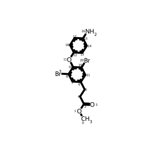 COC(=O)CCc1cc(Br)c(Oc2ccc(N)cc2)c(Br)c1